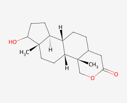 C[C@]12COC(=O)CC1CC[C@@H]1[C@H]2CC[C@]2(C)C(O)CC[C@@H]12